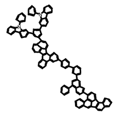 c1ccc(-c2cc(-c3cccc(-c4ccc(-c5ccc6c7c(c8ccccc8c6c5)-c5cccc6c(-c8cc(-c9ccc%10c%11ccccc%11n(-c%11ccccc%11)c%10c9)cc(-c9ccc%10c%11ccccc%11n(-c%11ccccc%11)c%10c9)c8)ccc-7c56)cc4)c3)cc3cc(-c4ccc5c6c(cc7ccccc7c46)-c4ccc6ccccc6c4-5)ccc23)cc1